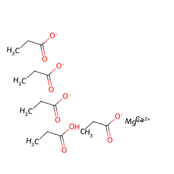 CCC(=O)O.CCC(=O)[O-].CCC(=O)[O-].CCC(=O)[O-].CCC(=O)[O-].[Ca+2].[Mg+2]